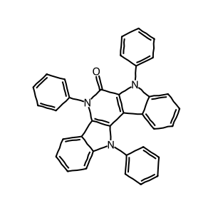 O=c1c2c(c3ccccc3n2-c2ccccc2)c2c(c3ccccc3n2-c2ccccc2)n1-c1ccccc1